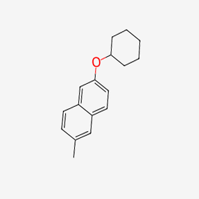 Cc1ccc2cc(OC3CCCCC3)ccc2c1